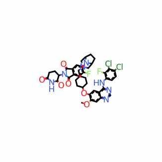 COc1cc2ncnc(Nc3ccc(Cl)c(Cl)c3F)c2cc1OC1CCC(CN2CC3CCC(C2)N3c2cc3c(cc2F)C(=O)N(C2CCC(=O)NC2=O)C3=O)CC1